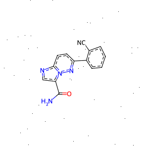 N#Cc1ccccc1-c1ccc2ncc(C(N)=O)n2n1